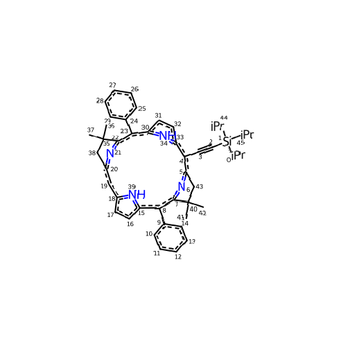 CC(C)[Si](C#Cc1c2nc(c(-c3ccccc3)c3ccc(cc4nc(c(-c5ccccc5)c5ccc1[nH]5)C(C)(C)C4)[nH]3)C(C)(C)C2)(C(C)C)C(C)C